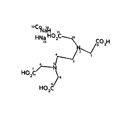 O=C(O)CN(CCN(CC(=O)O)CC(=O)O)CC(=O)O.[Co].[NaH].[NaH]